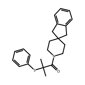 CC(C)(Sc1ccccc1)C(=O)N1CCC2(CC1)Cc1ccccc1C2